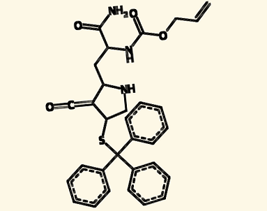 C=CCOC(=O)NC(CC1NCC(SC(c2ccccc2)(c2ccccc2)c2ccccc2)C1=C=O)C(N)=O